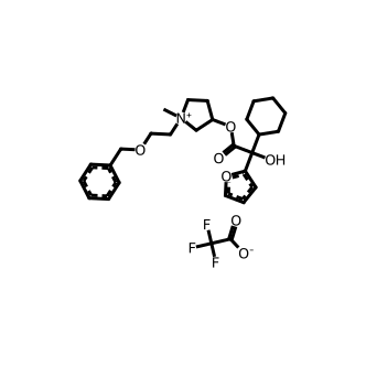 C[N+]1(CCOCc2ccccc2)CCC(OC(=O)C(O)(c2ccco2)C2CCCCC2)C1.O=C([O-])C(F)(F)F